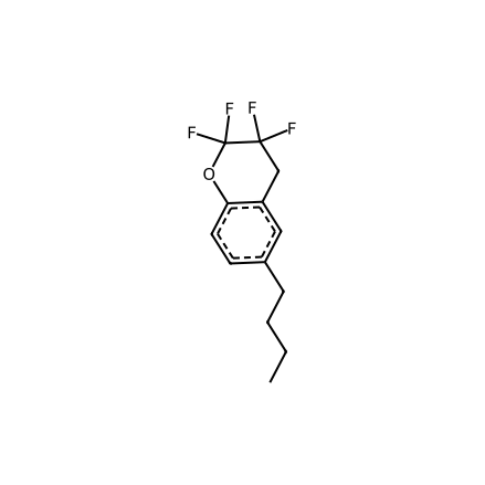 CCCCc1ccc2c(c1)CC(F)(F)C(F)(F)O2